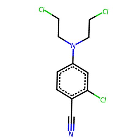 N#Cc1ccc(N(CCCl)CCCl)cc1Cl